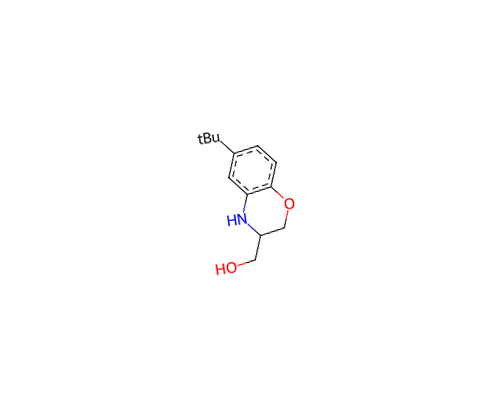 CC(C)(C)c1ccc2c(c1)NC(CO)CO2